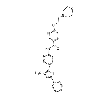 Cc1cc(-c2cccnc2)nn1-c1ccc(NC(=O)c2ccc(OCCN3CCOCC3)nc2)nc1